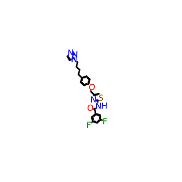 O=C(Nc1nc(COc2ccc(CCCCn3ccnn3)cc2)cs1)c1cc(F)cc(F)c1